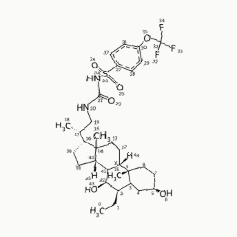 CC[C@@H]1C2C[C@H](O)CC[C@@]2(C)[C@H]2CCC3(C)[C@@H]([C@H](C)CNC(=O)NS(=O)(=O)c4ccc(OC(F)(F)F)cc4)CC[C@H]3C2[C@@H]1O